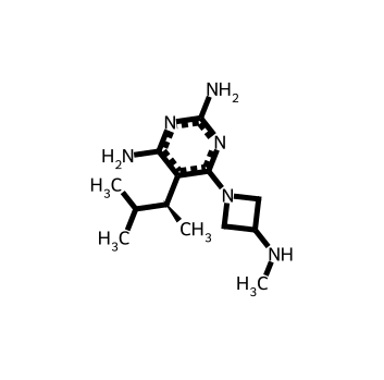 CNC1CN(c2nc(N)nc(N)c2[C@@H](C)C(C)C)C1